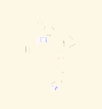 Cc1cnccc1/C=C/COC1Cc2ccccc2C12CCC(Nc1cccc(Cl)c1)(C(=O)O)CC2